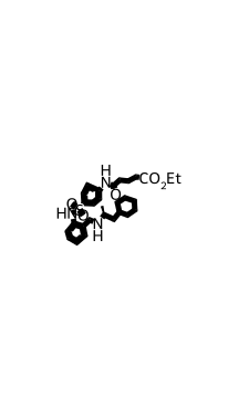 CCOC(=O)CCCC(=O)Nc1ccc(S(=O)(=O)Nc2ccccc2CN[C@@H](C)CC2CCCCC2)cc1